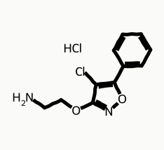 Cl.NCCOc1noc(-c2ccccc2)c1Cl